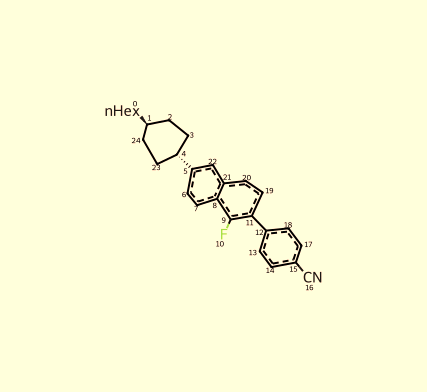 CCCCCC[C@H]1CC[C@H](c2ccc3c(F)c(-c4ccc(C#N)cc4)ccc3c2)CC1